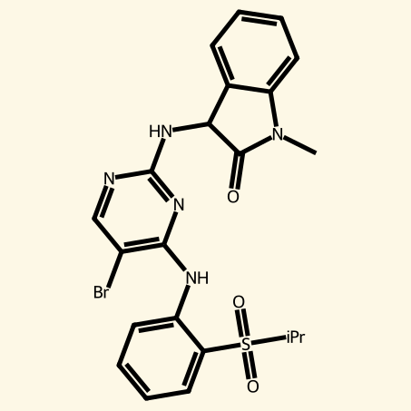 CC(C)S(=O)(=O)c1ccccc1Nc1nc(NC2C(=O)N(C)c3ccccc32)ncc1Br